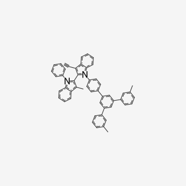 C#Cc1c(-c2c(C)c3ccccc3n2-c2ccccc2)n(-c2ccc(-c3cc(-c4cccc(C)c4)cc(-c4cccc(C)c4)c3)cc2)c2ccccc12